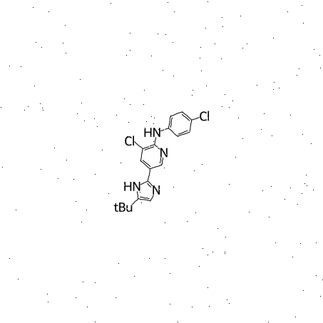 CC(C)(C)c1cnc(-c2cnc(Nc3ccc(Cl)cc3)c(Cl)c2)[nH]1